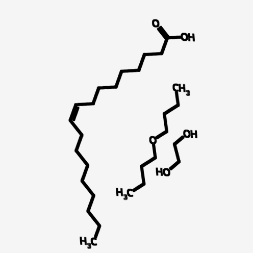 CCCCCCCC/C=C\CCCCCCCC(=O)O.CCCCOCCCC.OCCO